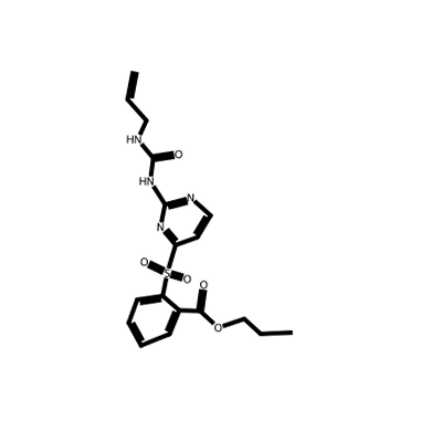 C=CCNC(=O)Nc1nccc(S(=O)(=O)c2ccccc2C(=O)OCCC)n1